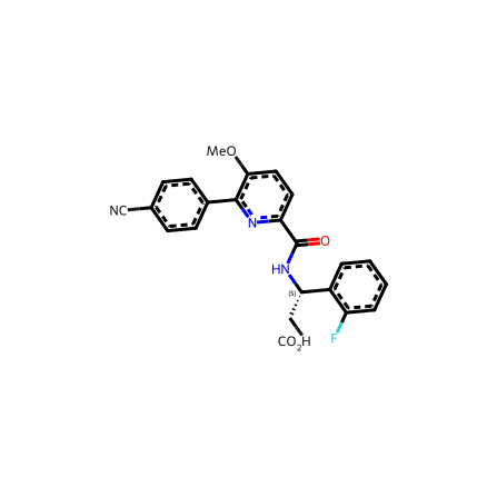 COc1ccc(C(=O)N[C@@H](CC(=O)O)c2ccccc2F)nc1-c1ccc(C#N)cc1